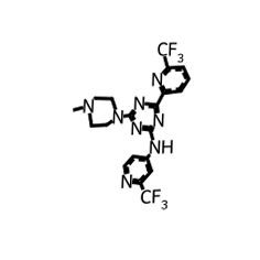 CN1CCN(c2nc(Nc3ccnc(C(F)(F)F)c3)nc(-c3cccc(C(F)(F)F)n3)n2)CC1